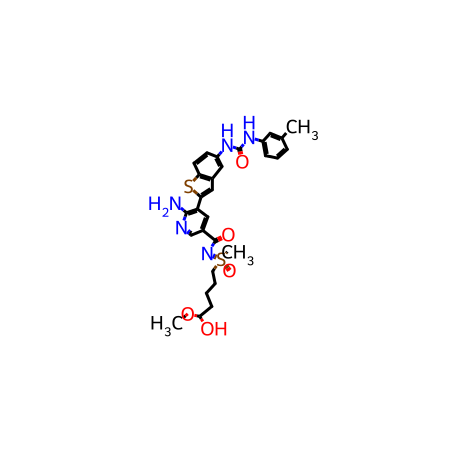 COC(O)CCCCS(C)(=O)=NC(=O)c1cnc(N)c(-c2cc3cc(NC(=O)Nc4cccc(C)c4)ccc3s2)c1